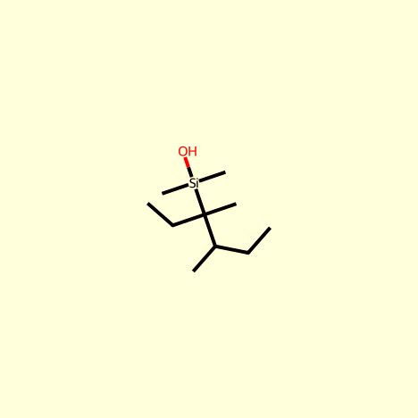 CCC(C)C(C)(CC)[Si](C)(C)O